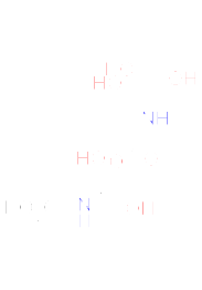 O=C(O)CNC(CO)(CO)COC(=O)CNC(CO)(CO)CO